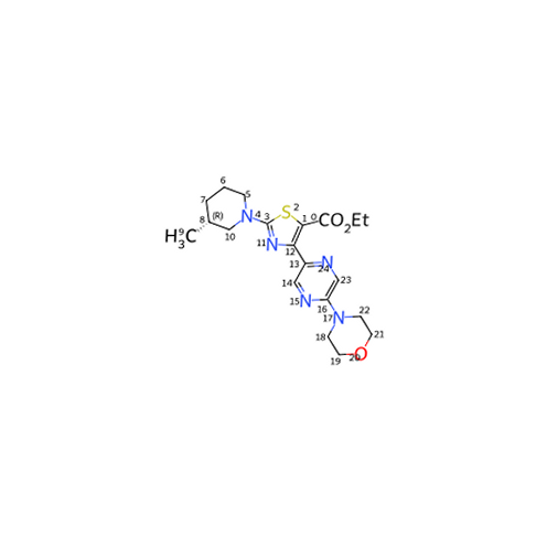 CCOC(=O)c1sc(N2CCC[C@@H](C)C2)nc1-c1cnc(N2CCOCC2)cn1